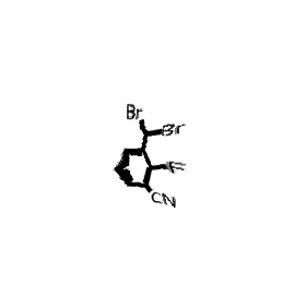 N#Cc1cccc(C(Br)Br)c1F